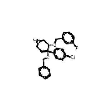 Fc1cccc(CO[C@H]2CNCC[C@@]2(OCc2ccccc2)c2ccc(Cl)cc2)c1